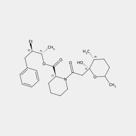 CC[C@H](Cc1ccccc1)[C@H](C)OC(=O)[C@@H]1CCCCN1C(=O)C[C@]1(O)OC(C)CC[C@H]1C